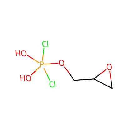 OP(O)(Cl)(Cl)OCC1CO1